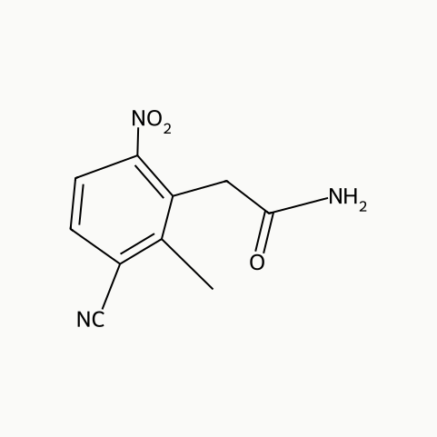 Cc1c(C#N)ccc([N+](=O)[O-])c1CC(N)=O